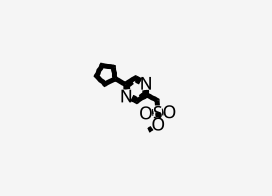 COS(=O)(=O)Cc1cnc(C2CCCC2)cn1